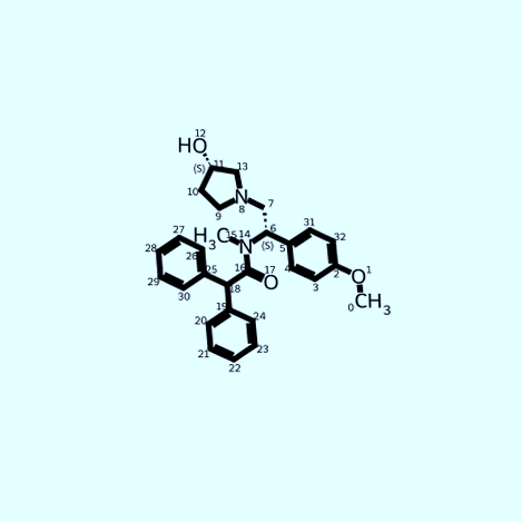 COc1ccc([C@@H](CN2CC[C@H](O)C2)N(C)C(=O)C(c2ccccc2)c2ccccc2)cc1